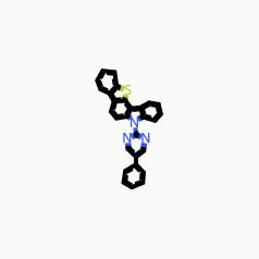 c1ccc(-c2cnc(-n3c4ccccc4c4c5sc6ccccc6c5ccc43)nc2)cc1